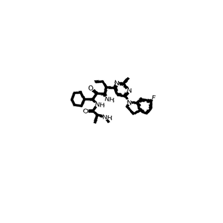 CCC(C(=N)C(=O)C(NC(=O)C(C)NC)C1CCCCC1)c1cc(N2CCc3ccc(F)cc32)nc(C)n1